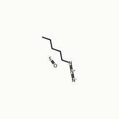 CCCCCN=[N+]=[N-].O=S